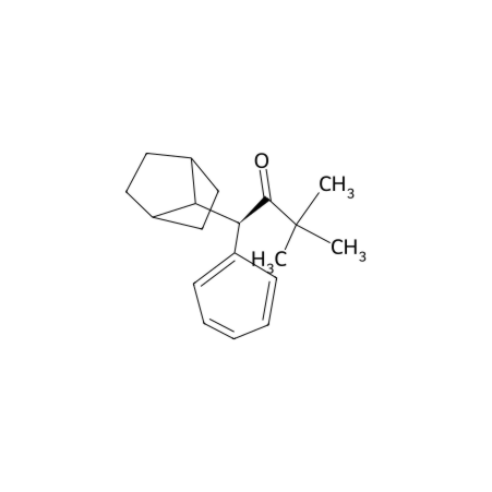 CC(C)(C)C(=O)[C@@H](c1ccccc1)C1C2CCC1CC2